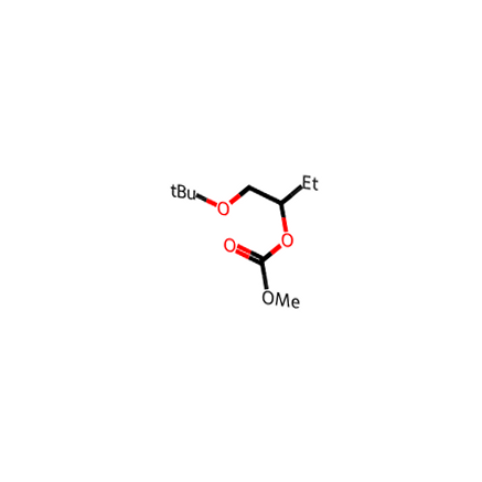 CCC(COC(C)(C)C)OC(=O)OC